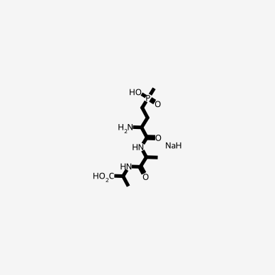 CC(NC(=O)C(C)NC(=O)C(N)CCP(C)(=O)O)C(=O)O.[NaH]